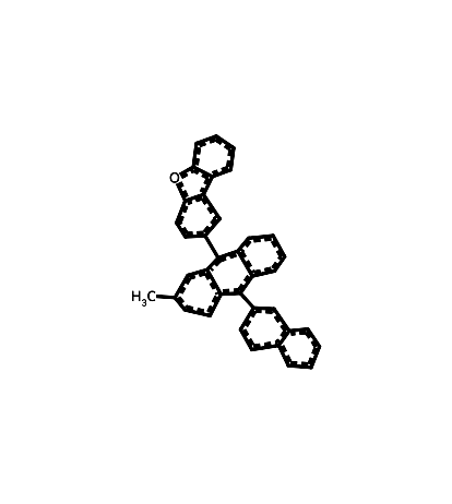 Cc1ccc2c(-c3ccc4ccccc4c3)c3ccccc3c(-c3ccc4oc5ccccc5c4c3)c2c1